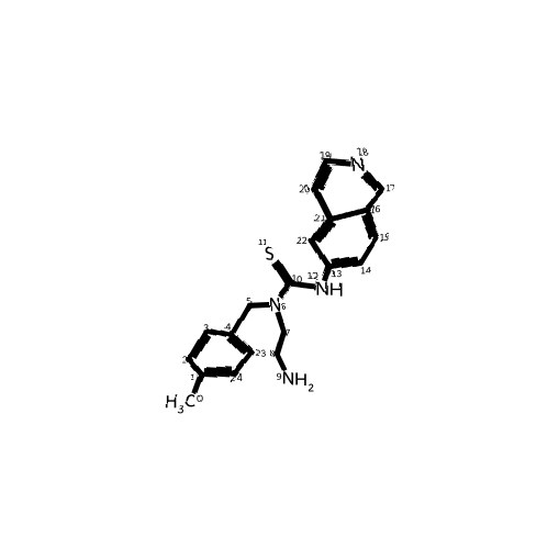 Cc1ccc(CN(CCN)C(=S)Nc2ccc3cnccc3c2)cc1